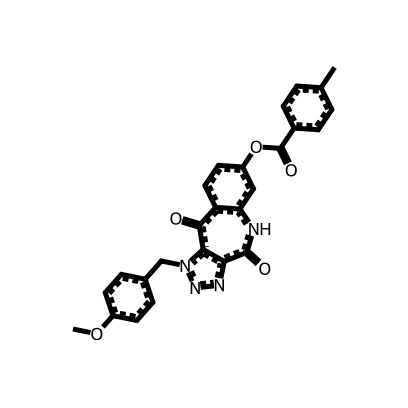 COc1ccc(Cn2nnc3c(=O)[nH]c4cc(OC(=O)c5ccc(C)cc5)ccc4c(=O)c32)cc1